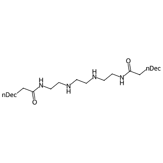 CCCCCCCCCCCC(=O)NCCNCCNCCNC(=O)CCCCCCCCCCC